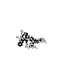 CCC(C)n1ncc2nc(N3CCN(/C(=N/C(=O)OC(C)(C)C)NC(=O)OC(C)(C)C)CC3)nc(N[C@@H](c3cnc4ccccc4c3)C3CC3)c21